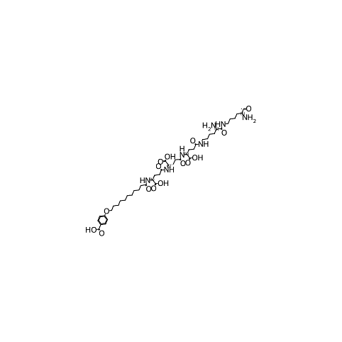 N[C@H]([C]=O)CCCCNC(=O)[C@@H](N)CCCCNC(=O)CC[C@H](NC(=O)CC[C@H](NC(=O)CC[C@H](NC(=O)CCCCCCCCCCOc1ccc(C(=O)O)cc1)C(=O)O)C(=O)O)C(=O)O